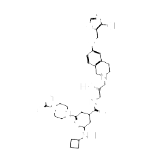 Cc1ncoc1COc1ccc2c(c1)CCN(C[C@@H](O)CNC(=O)C1CC(N3CCN(C(=O)C(C)C)CC3)=NC(NC3CCC3)C1)C2